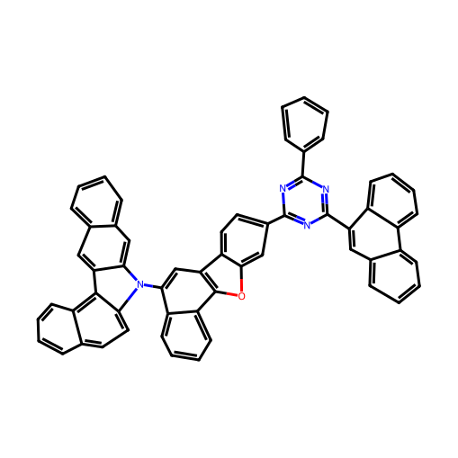 c1ccc(-c2nc(-c3ccc4c(c3)oc3c5ccccc5c(-n5c6cc7ccccc7cc6c6c7ccccc7ccc65)cc43)nc(-c3cc4ccccc4c4ccccc34)n2)cc1